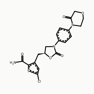 NC(=O)c1sc(Cl)cc1C[C@H]1CN(c2ccc(N3CCOCC3=O)cc2)C(=O)O1